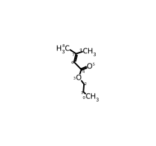 CCCOC(=O)C=C(C)C